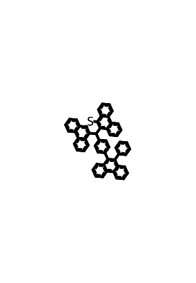 c1ccc(-c2c(-c3ccc(C4c5c(c6ccccc6c6ccccc56)Sc5c4c4ccccc4c4ccccc54)cc3)c3ccccc3c3ccccc23)cc1